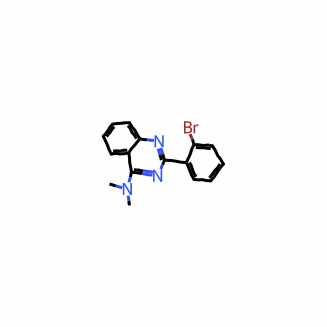 CN(C)c1nc(-c2ccccc2Br)nc2ccccc12